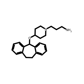 NCCCN1CCC(OC2c3ccccc3CCc3ccccc32)CC1